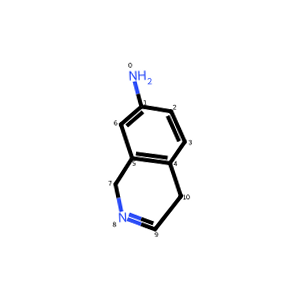 Nc1ccc2c(c1)CN=CC2